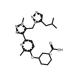 Cc1nc(-c2nnn(C)c2Cn2nncc2CC(C)C)ccc1OC1CCC[C@H](C(=O)O)C1